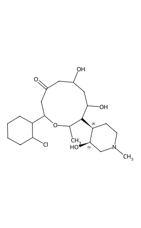 CC1OC(C2CCCCC2Cl)CC(=O)CC(O)CC(O)C1[C@H]1CCN(C)C[C@H]1O